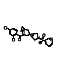 O=C(NCC1(CC2CC2)C2CN(S(=O)(=O)c3cccnc3)CC21)c1ccc(Cl)cc1Cl